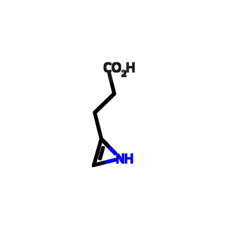 O=C(O)CCC1=CN1